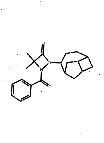 CC1(C)C(=O)N(C2CCC3CC4CC2CC34)N1C(=O)c1ccccc1